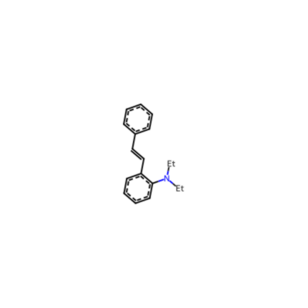 CCN(CC)c1ccccc1/C=C/c1ccccc1